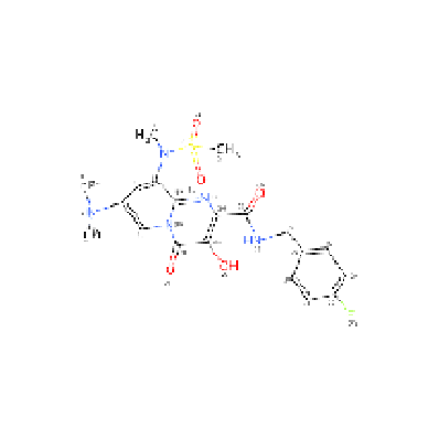 CCCN(CCC)c1cc(N(C)S(C)(=O)=O)c2nc(C(=O)NCc3ccc(F)cc3)c(O)c(=O)n2c1